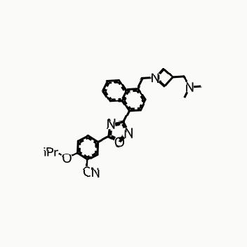 CC(C)Oc1ccc(-c2nc(-c3ccc(CN4CC(CN(C)C)C4)c4ccccc34)no2)cc1C#N